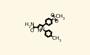 Cc1ccc(-n2nc(C(N)=O)cc2-c2ccc(S(C)(=O)=O)cc2)cc1